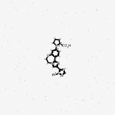 CC(C)n1ncnc1-c1cn2c(n1)-c1ccc(N3CCC[C@H]3C(=O)O)cc1OCC2